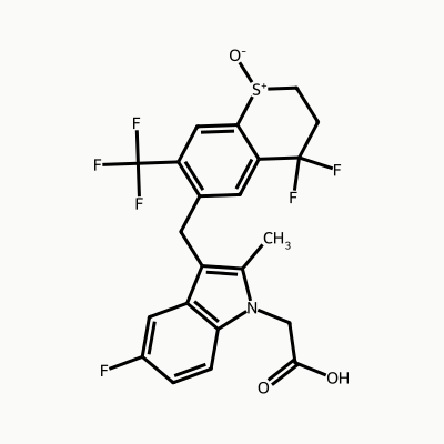 Cc1c(Cc2cc3c(cc2C(F)(F)F)[S+]([O-])CCC3(F)F)c2cc(F)ccc2n1CC(=O)O